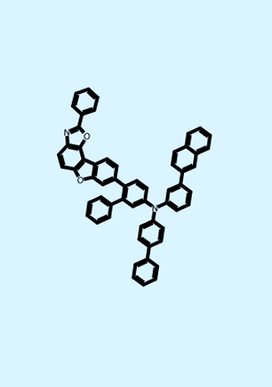 c1ccc(-c2ccc(N(c3cccc(-c4ccc5ccccc5c4)c3)c3ccc(-c4ccc5c(c4)oc4ccc6nc(-c7ccccc7)oc6c45)c(-c4ccccc4)c3)cc2)cc1